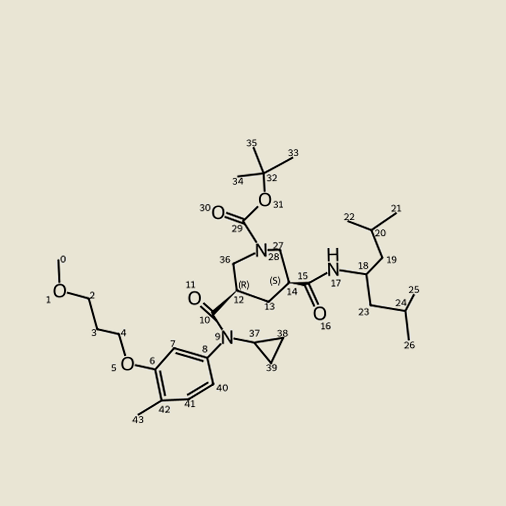 COCCCOc1cc(N(C(=O)[C@@H]2C[C@H](C(=O)NC(CC(C)C)CC(C)C)CN(C(=O)OC(C)(C)C)C2)C2CC2)ccc1C